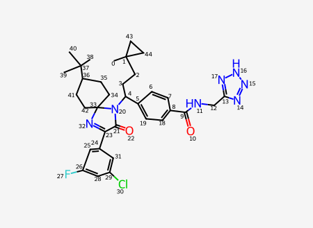 CC1(CCC(c2ccc(C(=O)NCc3nn[nH]n3)cc2)N2C(=O)C(c3cc(F)cc(Cl)c3)=NC23CCC(C(C)(C)C)CC3)CC1